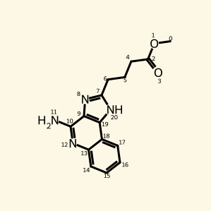 COC(=O)CCCc1nc2c(N)nc3ccccc3c2[nH]1